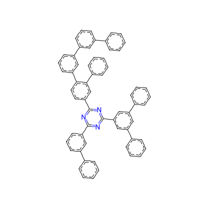 c1ccc(-c2cccc(-c3cccc(-c4ccc(-c5nc(-c6cccc(-c7ccccc7)c6)nc(-c6cc(-c7ccccc7)cc(-c7ccccc7)c6)n5)cc4-c4ccccc4)c3)c2)cc1